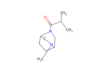 CC(C)C(=O)N1CC2CCC1CN2C